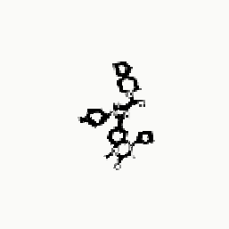 Cc1ccc(-n2nc(C(=O)N3CCC4(CCCC4)CC3)nc2-c2ccc3c(c2)N(C2CCCC2)[C@H](C)C(=O)N3C)cc1